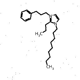 CCCCCCCCCn1cc[n+](CCCc2ccccc2)c1CCC